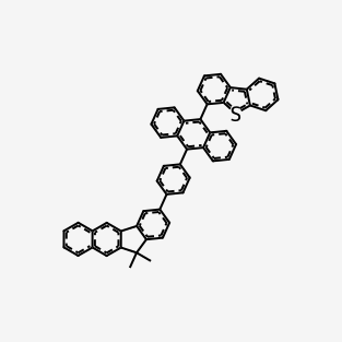 CC1(C)c2ccc(-c3ccc(-c4c5ccccc5c(-c5cccc6c5sc5ccccc56)c5ccccc45)cc3)cc2-c2cc3ccccc3cc21